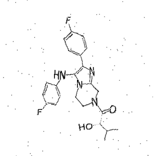 CC(C)[C@H](O)C(=O)N1CCn2c(nc(-c3ccc(F)cc3)c2Nc2ccc(F)cc2)C1